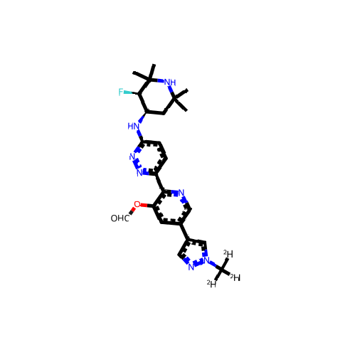 [2H]C([2H])([2H])n1cc(-c2cnc(-c3ccc(N[C@@H]4CC(C)(C)NC(C)(C)[C@@H]4F)nn3)c(OC=O)c2)cn1